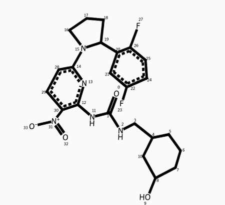 O=C(NCC1CCCC(O)C1)Nc1nc(N2CCCC2c2cc(F)ccc2F)ccc1[N+](=O)[O-]